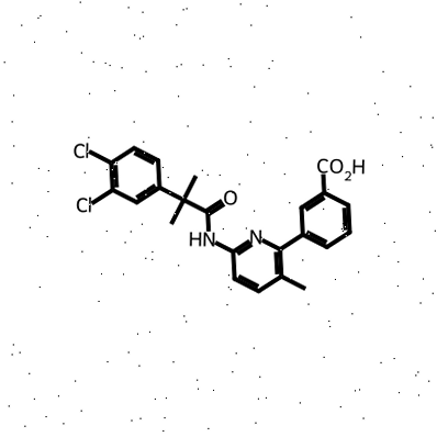 Cc1ccc(NC(=O)C(C)(C)c2ccc(Cl)c(Cl)c2)nc1-c1cccc(C(=O)O)c1